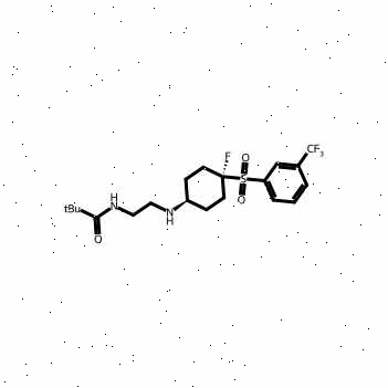 CC(C)(C)C(=O)NCCN[C@H]1CC[C@@](F)(S(=O)(=O)c2cccc(C(F)(F)F)c2)CC1